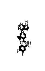 C[C@@H](NC(=O)C1CCN(c2ncnc3[nH]ccc23)CC12CC2)c1ccc(F)c(F)c1